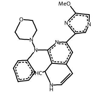 COc1cncc(-c2cc3c(c(N(c4ccccc4)N4CCOCC4)n2)C(C=O)NC=C3)n1